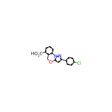 O=C(O)c1cccc2c1COc1cc(-c3ccc(Cl)cc3)nn1-2